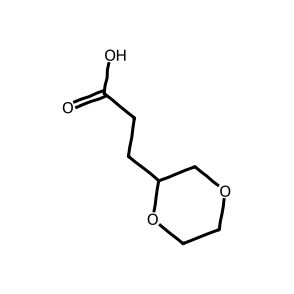 O=C(O)CCC1COCCO1